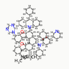 CC(C)c1cccc2oc3c(c(C(C)C)cc4c(N(c5ccccc5)c5ccc(-c6cccnc6)cc5)c(-c5ccccc5)c5cc(N6c7ccccc7C(c7ccccc7)=C7C=CC=CC76)c6oc7c(N8C=NC=NC8)cccc7c6c5c43)c12